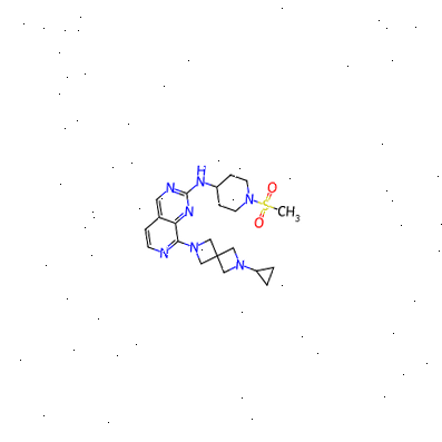 CS(=O)(=O)N1CCC(Nc2ncc3ccnc(N4CC5(C4)CN(C4CC4)C5)c3n2)CC1